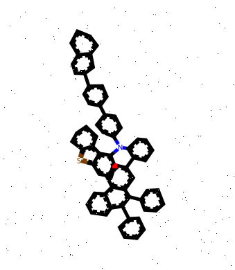 c1ccc(-c2c(-c3ccccc3)c3cc(-c4ccccc4N(c4ccc(-c5ccc(-c6ccc7ccccc7c6)cc5)cc4)c4cccc5sc6ccccc6c45)ccc3c3ccccc23)cc1